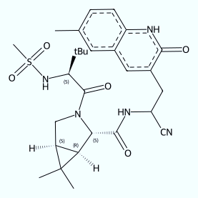 Cc1ccc2[nH]c(=O)c(CC(C#N)NC(=O)[C@@H]3[C@@H]4[C@H](CN3C(=O)[C@@H](NS(C)(=O)=O)C(C)(C)C)C4(C)C)cc2c1